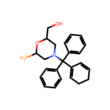 OCC1CN(C(C2=CCCC=C2)(c2ccccc2)c2ccccc2)CC(P)O1